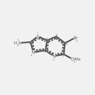 COc1nc2nc(N)sc2cc1Br